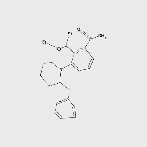 CCOC(CC)c1c(C(N)=O)cccc1N1CCCCC1Cc1ccccc1